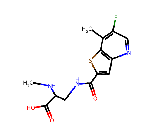 CNC(CNC(=O)c1cc2ncc(F)c(C)c2s1)C(=O)O